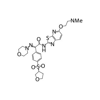 CNCCOc1ccc2nc(NC(=O)/C(=N/N3CCOCC3)c3ccc(S(=O)(=O)[C@H]4CCOC4)cc3)sc2n1